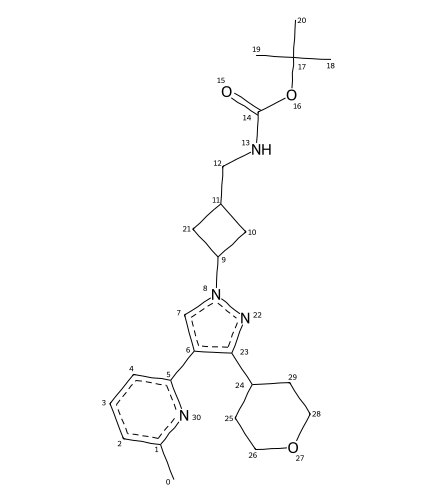 Cc1cccc(-c2cn(C3CC(CNC(=O)OC(C)(C)C)C3)nc2C2CCOCC2)n1